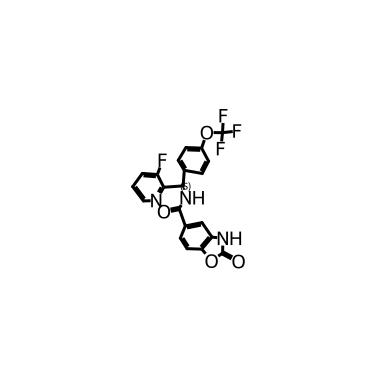 O=C(N[C@@H](c1ccc(OC(F)(F)F)cc1)c1ncccc1F)c1ccc2oc(=O)[nH]c2c1